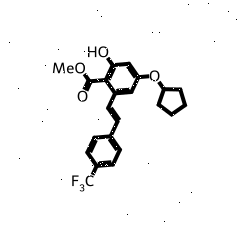 COC(=O)c1c(O)cc(OC2CCCC2)cc1C=Cc1ccc(C(F)(F)F)cc1